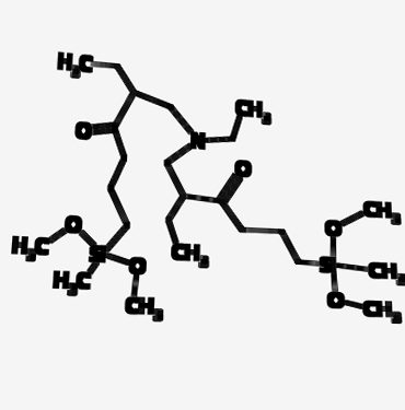 CCC(CN(CC)CC(CC)C(=O)CCC[Si](C)(OC)OC)C(=O)CCC[Si](C)(OC)OC